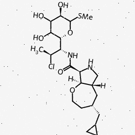 CSC1O[C@H]([C@H](NC(=O)[C@H]2NC[C@@H]3C[C@H](CC4CC4)CCO[C@H]32)[C@H](C)Cl)C(O)C(O)[C@H]1O